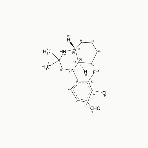 CC1(C)CN(c2ccc(C=O)c(Cl)c2F)[C@@H]2CCCC[C@H]2N1